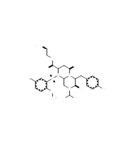 C=CCOC(=O)C1CC(=O)N2C(Cc3ccc(Cl)cc3)C(=O)N(C(C)C)CC2N1S(=O)(=O)c1cc(Cl)ccc1OC